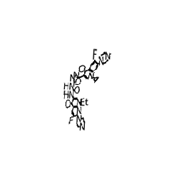 CCn1cc(NC(=O)Nc2nnc(-c3cn(C4CC4)c4cc(N5CCN(C)CC5)c(F)cc4c3=O)o2)c(=O)c2cc(F)c(N3CCN(C)CC3)nc21